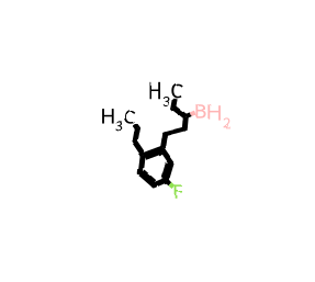 BC(CC)CCc1cc(F)ccc1CCC